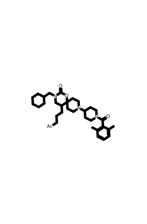 CC(=O)CCCC1CN(CC2CCCCC2)C(=O)OC12CCN(C1CCN(C(=O)c3c(C)cccc3C)CC1)CC2